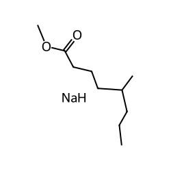 CCCC(C)CCCC(=O)OC.[NaH]